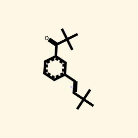 CC(C)(C)/C=C/c1cccc(C(=O)C(C)(C)C)c1